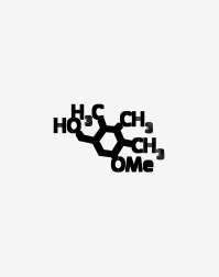 COC1CC(CO)C(C)C(C)C1C